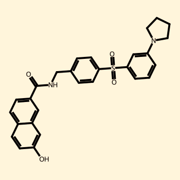 O=C(NCc1ccc(S(=O)(=O)c2cccc(N3CCCC3)c2)cc1)c1ccc2ccc(O)cc2c1